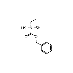 CC[N+](S)(S)C(=O)OCc1ccccc1